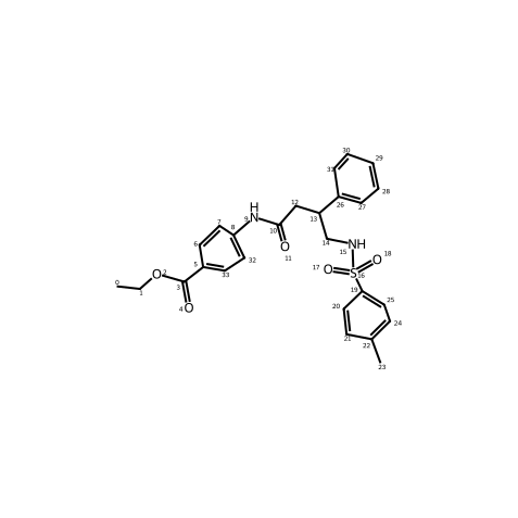 CCOC(=O)c1ccc(NC(=O)CC(CNS(=O)(=O)c2ccc(C)cc2)c2ccccc2)cc1